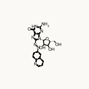 Nc1nc2c(nc(/N=N/c3ccc4ncccc4c3)n2[C@@H]2O[C@H](CO)C(O)C2O)c(=O)[nH]1